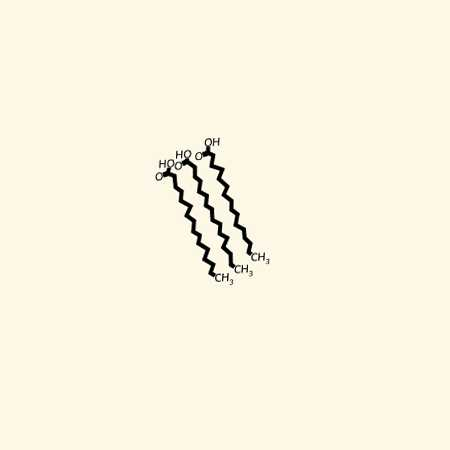 CCCCCCCCCCCCCCCC(=O)O.CCCCCCCCCCCCCCCC(=O)O.CCCCCCCCCCCCCCCC(=O)O